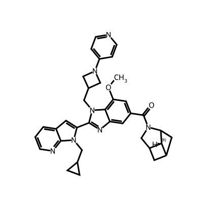 COc1cc(C(=O)N2CC3CC4CC2[C@H]43)cc2nc(-c3cc4cccnc4n3CC3CC3)n(CC3CN(c4ccncc4)C3)c12